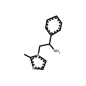 Cc1nccn1CC(N)c1ccccc1